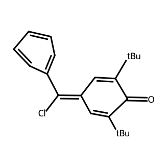 CC(C)(C)C1=CC(=C(Cl)c2ccccc2)C=C(C(C)(C)C)C1=O